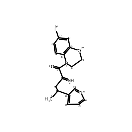 CC(CC(=N)C(=O)N1CCOc2cc(F)ccc21)c1cccnc1